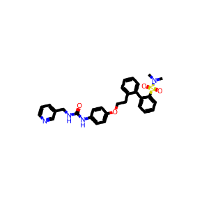 CN(C)S(=O)(=O)c1ccccc1-c1ccccc1CCOc1ccc(NC(=O)NCc2cccnc2)cc1